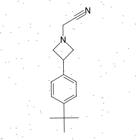 CC(C)(C)c1ccc(C2CN(CC#N)C2)cc1